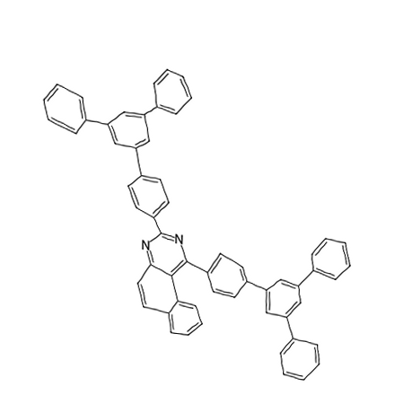 c1ccc(-c2cc(-c3ccccc3)cc(-c3ccc(-c4nc(-c5ccc(-c6cc(-c7ccccc7)cc(-c7ccccc7)c6)cc5)c5c(ccc6ccccc65)n4)cc3)c2)cc1